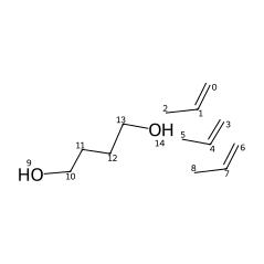 C=CC.C=CC.C=CC.OCCCCO